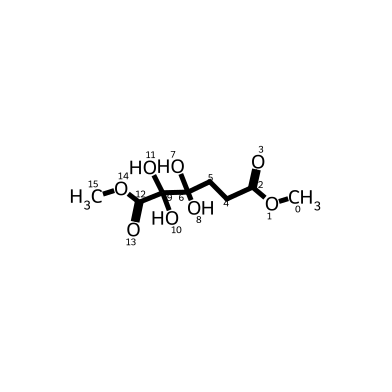 COC(=O)CCC(O)(O)C(O)(O)C(=O)OC